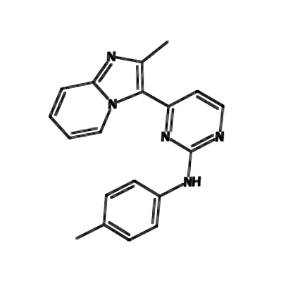 Cc1ccc(Nc2nccc(-c3c(C)nc4ccccn34)n2)cc1